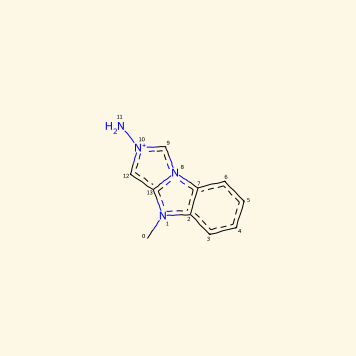 Cn1c2ccccc2n2c[n+](N)cc12